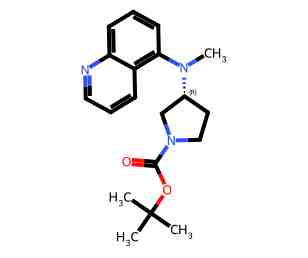 CN(c1cccc2ncccc12)[C@@H]1CCN(C(=O)OC(C)(C)C)C1